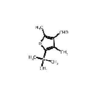 Cc1oc([Si](C)(C)C)c(C)c1C=O